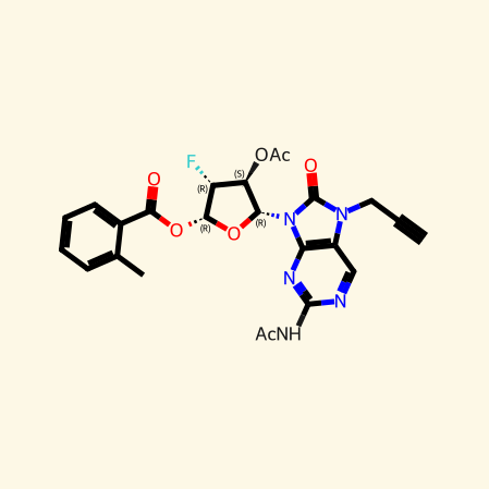 C#CCn1c(=O)n([C@@H]2O[C@H](OC(=O)c3ccccc3C)[C@H](F)[C@H]2OC(C)=O)c2nc(NC(C)=O)ncc21